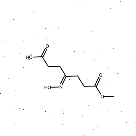 COC(=O)CCC(CCC(=O)O)=NO